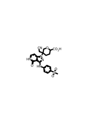 CS(=O)(=O)c1ccc(Nc2nn(C3(CC#N)CCC(C(=O)O)OC3)c3cc[nH]c(=O)c23)cc1